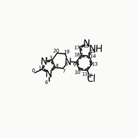 Cc1nc2c(n1C)CN(c1cc(Cl)cc3[nH]ncc13)CC2